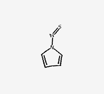 S=Nn1cccc1